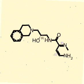 C/N=C(\C=C/N)C(=O)NC[C@H](O)CN1CCc2ccccc2C1